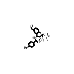 CCc1ccc2c(c1)[C@@H](NC(=O)c1ccc(Br)cc1)[C@H](O)C(C)(C)O2